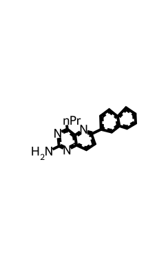 CCCc1nc(N)nc2ccc(-c3ccc4ccccc4c3)nc12